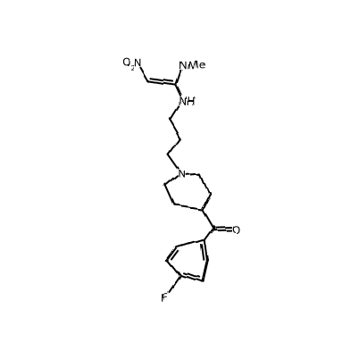 CNC(=C[N+](=O)[O-])NCCCN1CCC(C(=O)c2ccc(F)cc2)CC1